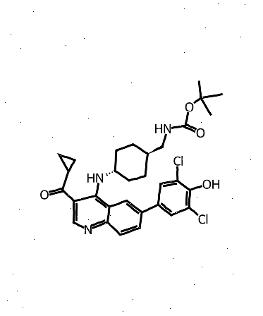 CC(C)(C)OC(=O)NC[C@H]1CC[C@H](Nc2c(C(=O)C3CC3)cnc3ccc(-c4cc(Cl)c(O)c(Cl)c4)cc23)CC1